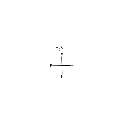 FC(F)(F)F.S